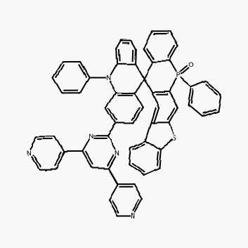 O=P1(c2ccccc2)c2ccccc2C2(c3ccccc3N(c3ccccc3)c3cc(-c4nc(-c5ccncc5)cc(-c5ccncc5)n4)ccc32)c2cc3c(cc21)sc1ccccc13